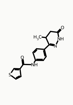 CC1CC(=O)NN=C1c1ccc(NC(=O)c2ccsc2)cc1